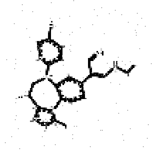 CCN/C=C(\C=N)c1ccc2c(c1)N(c1ccc(Cl)cn1)C[C@@H](C)c1nnc(C)n1-2